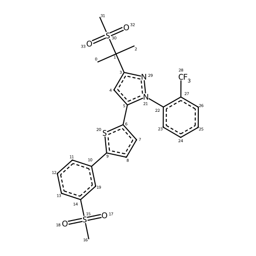 CC(C)(c1cc(-c2ccc(-c3cccc(S(C)(=O)=O)c3)s2)n(-c2ccccc2C(F)(F)F)n1)S(C)(=O)=O